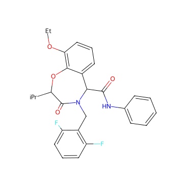 CCOc1cccc2c1OC(C(C)C)C(=O)N(Cc1c(F)cccc1F)C2C(=O)Nc1ccccc1